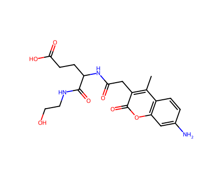 Cc1c(CC(=O)NC(CCC(=O)O)C(=O)NCCO)c(=O)oc2cc(N)ccc12